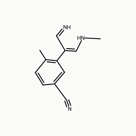 CN/C=C(\C=N)c1cc(C#N)ccc1C